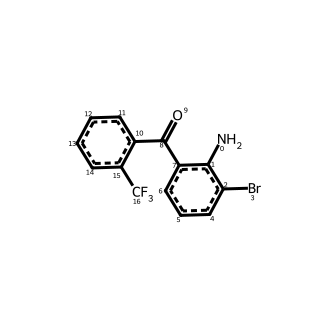 Nc1c(Br)cccc1C(=O)c1ccccc1C(F)(F)F